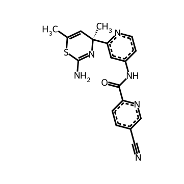 CC1=C[C@@](C)(c2cc(NC(=O)c3ccc(C#N)cn3)ccn2)N=C(N)S1